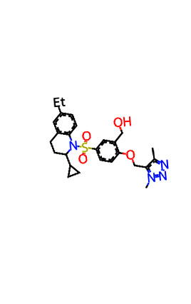 CCc1ccc2c(c1)CCC(C1CC1)N2S(=O)(=O)c1ccc(OCc2c(C)nnn2C)c(CO)c1